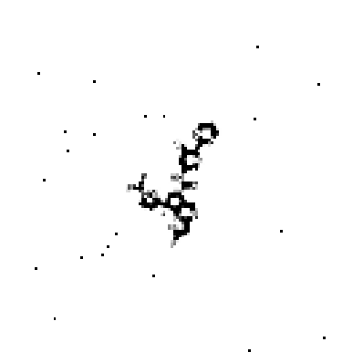 C[C@]1(c2ccn(C(F)F)n2)C[C@@H](C(=O)Nc2cnc(-c3ncccn3)c(Cl)c2)c2cnc3cc(F)nn3c21